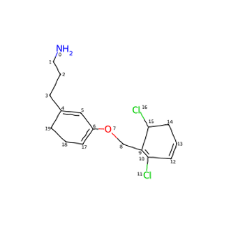 NCCCC1=CC(OCC2=C(Cl)C=CCC2Cl)=CCC1